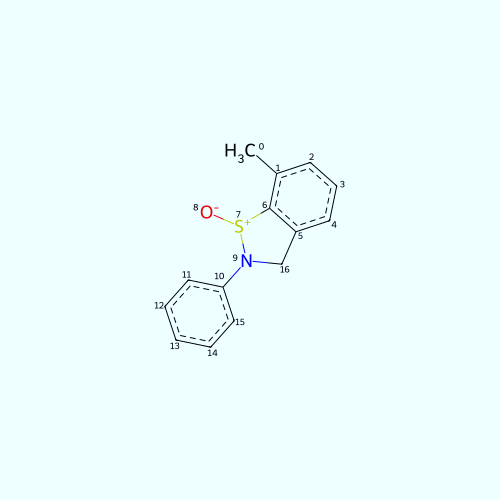 Cc1cccc2c1[S+]([O-])N(c1ccccc1)C2